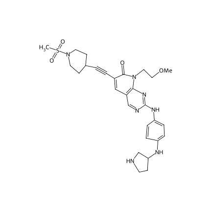 COCCn1c(=O)c(C#CC2CCN(S(C)(=O)=O)CC2)cc2cnc(Nc3ccc(NC4CCNC4)cc3)nc21